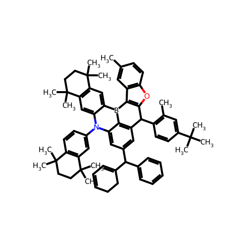 Cc1ccc2oc3c(c2c1)B1c2cc4c(cc2N(c2ccc5c(c2)C(C)(C)CCC5(C)C)c2cc(C(C5=CC=CCC5)c5ccccc5)cc(c21)C3c1ccc(C(C)(C)C)cc1C)C(C)(C)CCC4(C)C